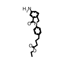 CCOC(=O)CCCc1ccc(N2Cc3ccc(N)cc3C2=O)cc1